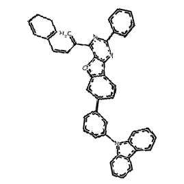 C=C(/C=C\C1=CCCC=C1)c1nc(-c2ccccc2)nc2c1oc1cc(-c3cccc(-n4c5ccccc5c5ccccc54)c3)ccc12